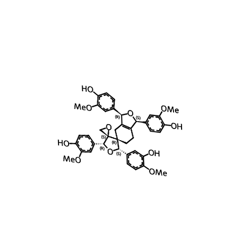 COc1ccc([C@@H]2O[C@H](c3ccc(O)c(OC)c3)[C@@]3(CO3)[C@@]23CCC2=C(C3)[C@@H](c3ccc(O)c(OC)c3)O[C@H]2c2ccc(O)c(OC)c2)cc1O